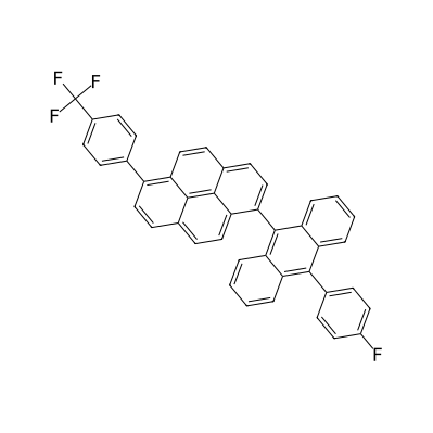 Fc1ccc(-c2c3ccccc3c(-c3ccc4ccc5c(-c6ccc(C(F)(F)F)cc6)ccc6ccc3c4c65)c3ccccc23)cc1